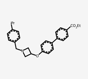 CCOC(=O)c1ccc(-c2ccc(OC3CN(Cc4ccc(C(C)C)cc4)C3)cc2)cc1